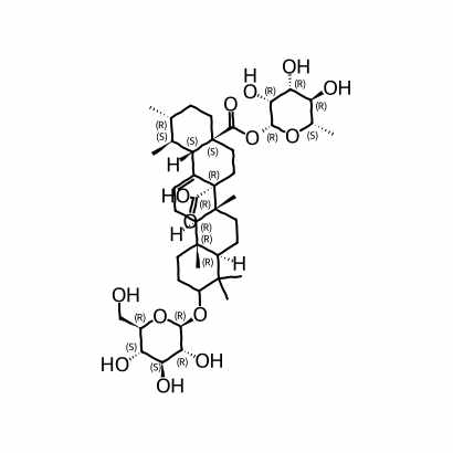 C[C@H]1[C@H](C)CC[C@]2(C(=O)O[C@H]3O[C@@H](C)[C@H](O)[C@@H](O)[C@H]3O)CC[C@]3(C(=O)O)C(=CC[C@@H]4[C@@]5(C)CCC(O[C@@H]6O[C@H](CO)[C@@H](O)[C@H](O)[C@H]6O)C(C)(C)[C@@H]5CC[C@]43C)[C@H]12